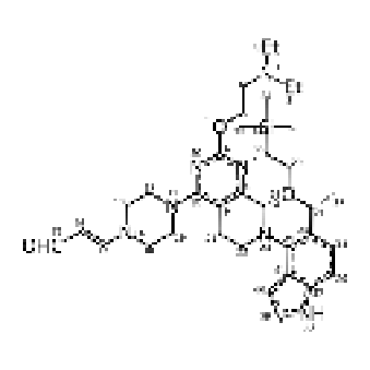 CCN(CC)CCOc1nc2c(c(N3CCN(C=CC=O)CC3)n1)CCN(c1c([C@@H](C)OCC[Si](C)(C)C)ccc3[nH]ncc13)C2